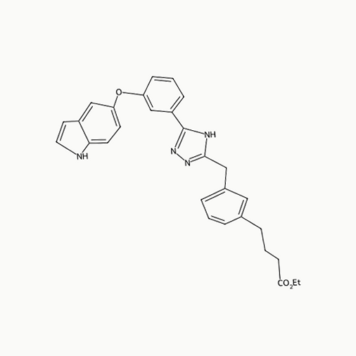 CCOC(=O)CCCc1cccc(Cc2nnc(-c3cccc(Oc4ccc5[nH]ccc5c4)c3)[nH]2)c1